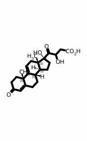 C[C@]12CCC(=O)C=C1CC[C@@H]1C2=CC[C@@]2(C)[C@H]1CC[C@]2(O)C(=O)C(O)CC(=O)O